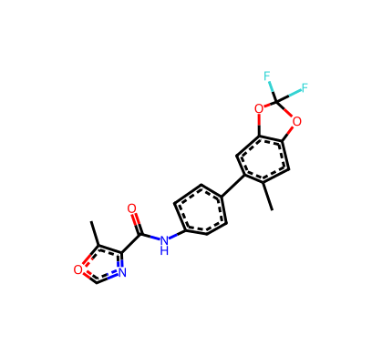 Cc1cc2c(cc1-c1ccc(NC(=O)c3ncoc3C)cc1)OC(F)(F)O2